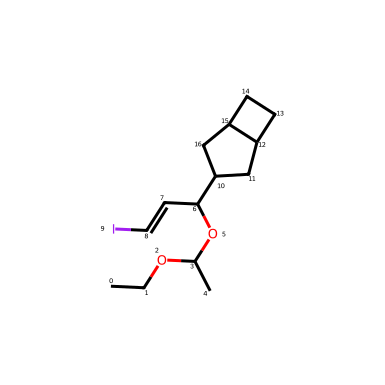 CCOC(C)OC(C=CI)C1CC2CCC2C1